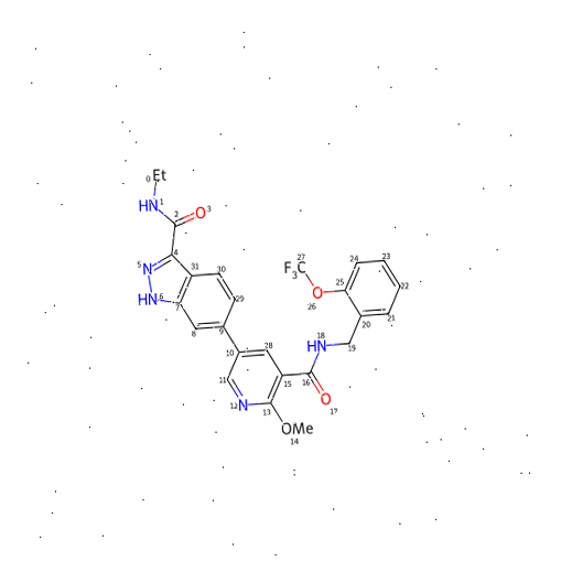 CCNC(=O)c1n[nH]c2cc(-c3cnc(OC)c(C(=O)NCc4ccccc4OC(F)(F)F)c3)ccc12